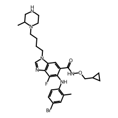 Cc1cc(Br)ccc1Nc1c(C(=O)NOCC2CC2)cc2c(ncn2CCCCN2CCNCC2C)c1F